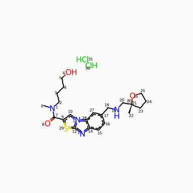 CN(CCCCO)C(=O)c1cn2c(nc3ccc(CNC[C@@]4(C)CCCO4)cc32)s1.Cl.Cl